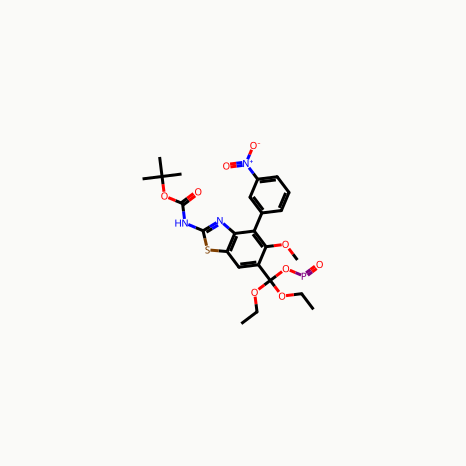 CCOC(OCC)(OP=O)c1cc2sc(NC(=O)OC(C)(C)C)nc2c(-c2cccc([N+](=O)[O-])c2)c1OC